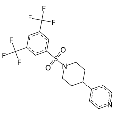 O=S(=O)(c1cc(C(F)(F)F)cc(C(F)(F)F)c1)N1CCC(c2ccncc2)CC1